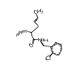 CC=CCC(CCCCC)C(=O)NCc1ccccc1Cl